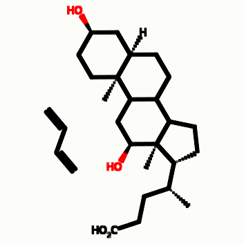 C=CC=C.C[C@H](CCC(=O)O)[C@H]1CCC2C3CC[C@@H]4C[C@H](O)CC[C@]4(C)C3C[C@H](O)[C@@]21C